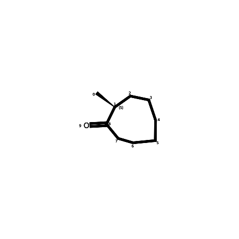 C[C@H]1CCCCCCC1=O